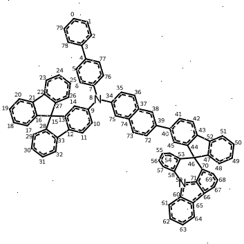 c1ccc(-c2ccc(N(c3ccc4c(c3)C3(c5ccccc5-c5ccccc53)c3ccccc3-4)c3ccc4cc(-c5ccc6c(c5)C5(c7ccccc7-6)c6ccccc6-n6c7ccccc7c7cccc5c76)ccc4c3)cc2)cc1